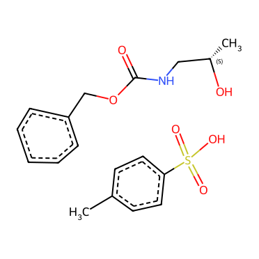 C[C@H](O)CNC(=O)OCc1ccccc1.Cc1ccc(S(=O)(=O)O)cc1